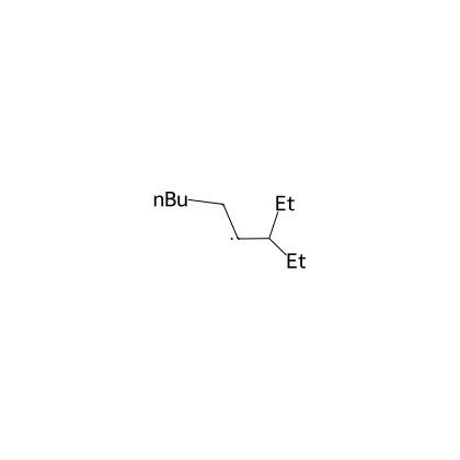 CCCCC[CH]C(CC)CC